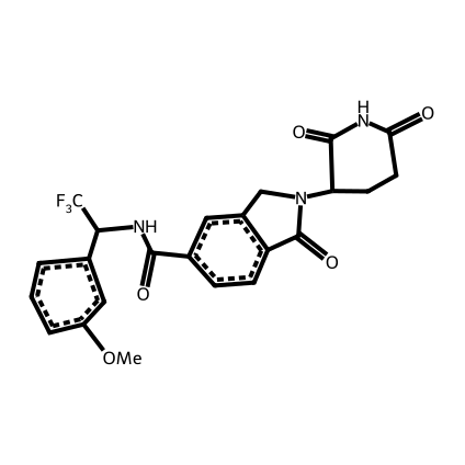 COc1cccc(C(NC(=O)c2ccc3c(c2)CN(C2CCC(=O)NC2=O)C3=O)C(F)(F)F)c1